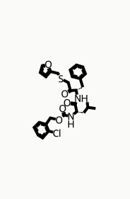 CC(C)C[C@H](NC(=O)OCc1ccccc1Cl)C(=O)N[C@@H](Cc1ccccc1)C(=O)CSCc1ccco1